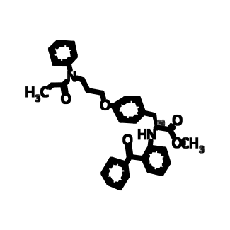 CCC(=O)N(CCCOc1ccc(C[C@H](Nc2ccccc2C(=O)c2ccccc2)C(=O)OC)cc1)c1ccccc1